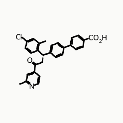 Cc1cc(C(=O)C[C@H](c2ccc(-c3ccc(C(=O)O)cc3)cc2)c2ccc(Cl)cc2C)ccn1